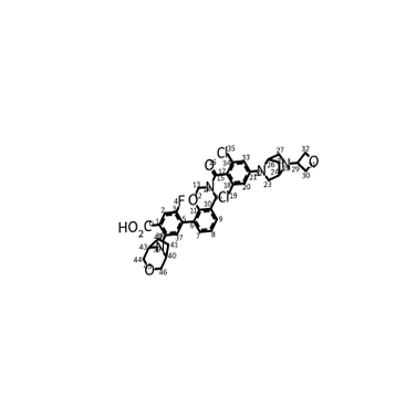 O=C(O)c1cc(F)c(-c2cccc3c2OCN(C(=O)c2c(Cl)cc(N4CC5CC4CN5C4COC4)cc2Cl)C3)cc1N1C2CCC1COC2